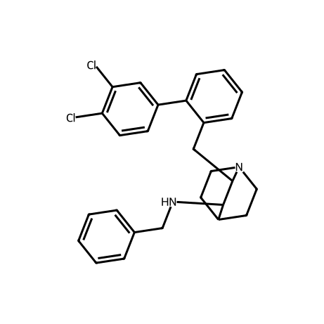 Clc1ccc(-c2ccccc2CC2C(NCc3ccccc3)C3CCN2CC3)cc1Cl